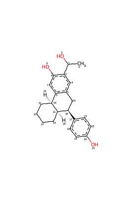 CC(O)c1cc2c(cc1O)[C@@H]1CCCC[C@@H]1[C@H](c1ccc(O)cc1)C2